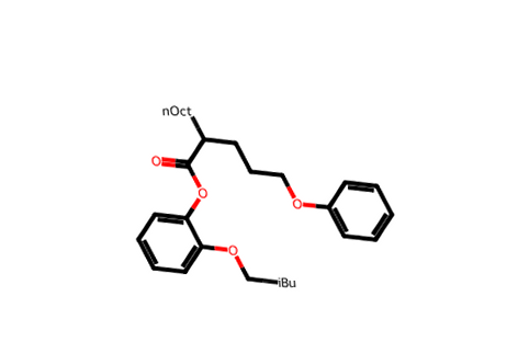 CCCCCCCCC(CCCOc1ccccc1)C(=O)Oc1ccccc1OCC(C)CC